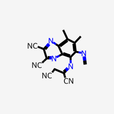 C=Nc1c(C)c(C)c2nc(C#N)c(C#N)nc2c1/N=C(/C#N)CC#N